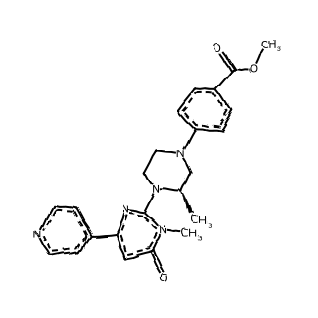 COC(=O)c1ccc(N2CCN(c3nc(-c4ccncc4)cc(=O)n3C)[C@H](C)C2)cc1